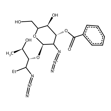 CCC(N=[N+]=[N-])[C@@H](O[C@H]1OC(CO)[C@@H](O)[C@H](OC(=O)c2ccccc2)C1N=[N+]=[N-])[C@@H](C)O